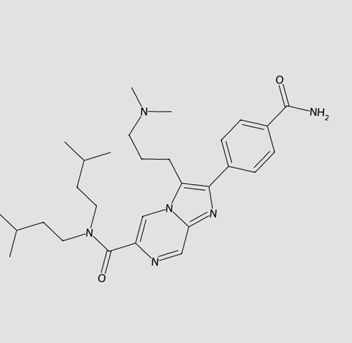 CC(C)CCN(CCC(C)C)C(=O)c1cn2c(CCCN(C)C)c(-c3ccc(C(N)=O)cc3)nc2cn1